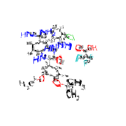 CCOc1cc(C(Nc2ccc(C(=N)N)cc2)C(=O)NNc2ccccc2Cl)ccc1OC(C)C.O=C(O)C(F)(F)F